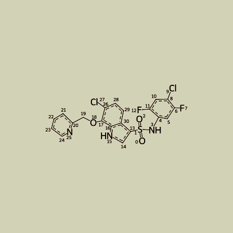 O=S(=O)(Nc1cc(F)c(Cl)cc1F)c1c[nH]c2c(OCc3ccccn3)c(Cl)ccc12